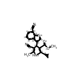 COC(=O)C1=C(C2CC2)NC(C)=C(C#N)C1c1csc2c(C#N)cccc12